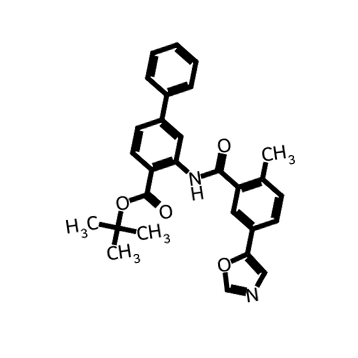 Cc1ccc(-c2cnco2)cc1C(=O)Nc1cc(-c2ccccc2)ccc1C(=O)OC(C)(C)C